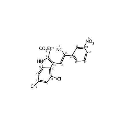 CCOC(=O)c1[nH]c2cc(Cl)cc(Cl)c2c1/C=C(\C#N)c1cccc([N+](=O)[O-])c1